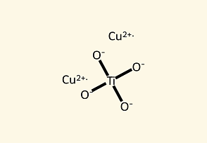 [Cu+2].[Cu+2].[O-][Ti]([O-])([O-])[O-]